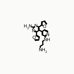 NCCCNc1cc(-c2c(-c3ccco3)nc(N)nc2-c2ccco2)ccn1